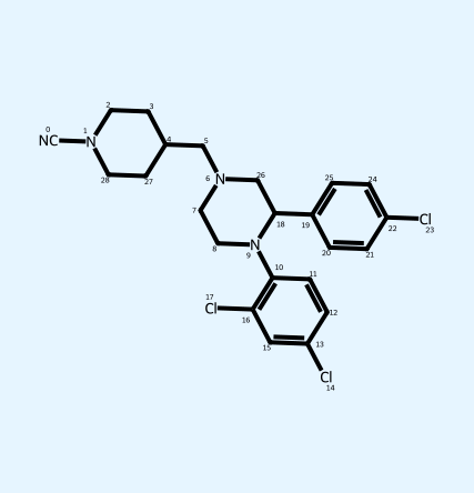 N#CN1CCC(CN2CCN(c3ccc(Cl)cc3Cl)C(c3ccc(Cl)cc3)C2)CC1